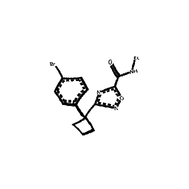 CCNC(=O)c1nc(C2(c3ccc(Br)cc3)CCC2)no1